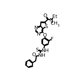 CCN(C)C(=O)c1cc2ncnc(Oc3ccc(NC(=S)NC(=O)Cc4ccccc4)cc3F)c2s1